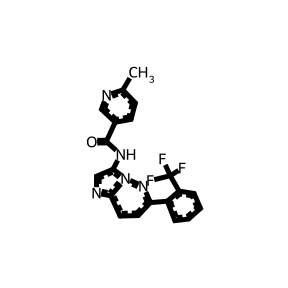 Cc1ccc(C(=O)Nc2cnc3ccc(-c4ccccc4C(F)(F)F)nn23)cn1